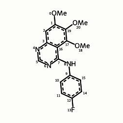 COc1cc2ncnc(Nc3ccc(F)cc3)c2c(OC)c1OC